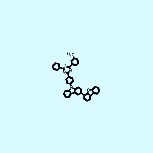 Cc1cccc(-c2nc(-c3ccccc3)nc(-c3ccc(-n4c5ccccc5c5cc(-c6cccc7c6oc6ccccc67)ccc54)cc3)n2)c1